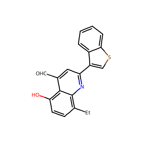 CCc1ccc(O)c2c(C=O)cc(-c3csc4ccccc34)nc12